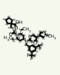 CC[C@@H]1C[C@H](N(Cc2cc(C(F)(F)F)cc(C(F)(F)F)c2)c2ncc(-c3cnn(C)c3)cn2)C[C@H](CC)N1C(=O)OCC1(C(=O)O)CCCC1